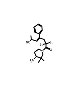 CCC(CC)(C/C(=C/C(C)C#N)c1ccccc1)C(=O)N1CC[C@H](N)C(C)(C)C1